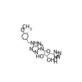 COc1ccc(CNc2ncnc3c2ncn3C2OC(c3nnn[nH]3)C(O)C2O)cc1